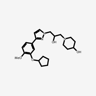 COc1ccc(-c2ccn(CC(O)CN3CCC(O)CC3)n2)cc1OC1CCCC1